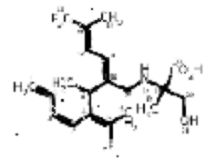 C=C/C=C\C(=C(\C)F)C(C)/C(=C\C=C(/C)C(F)(F)F)CNC(C)(CO)C(=O)O